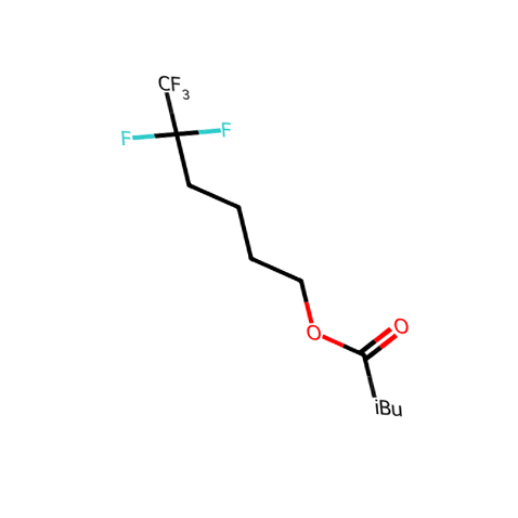 CCC(C)C(=O)OCCCCC(F)(F)C(F)(F)F